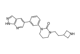 O=C1N(CCC2CNC2)CCCN1c1cccc(-c2cnc3[nH]ncc3c2)c1